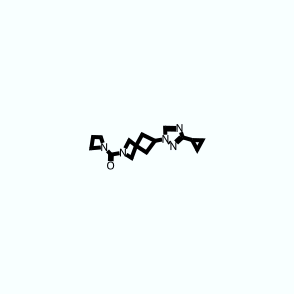 O=C(N1CCC1)N1CC2(CC(n3cnc(C4CC4)n3)C2)C1